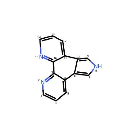 c1cnc2c(c1)c1c[nH]cc1c1cccnc12